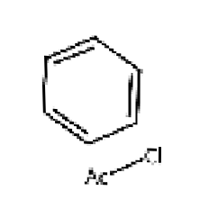 CC(=O)Cl.c1ccccc1